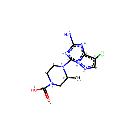 C[C@H]1CN(C(=O)O)CCN1c1nc(N)nc2c(Cl)cnn12